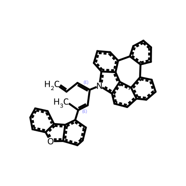 C=C/C=C(\C=C(/C)c1cccc2oc3ccccc3c12)n1c2cccc3c2c2c4c(cccc4ccc21)-c1ccccc1-3